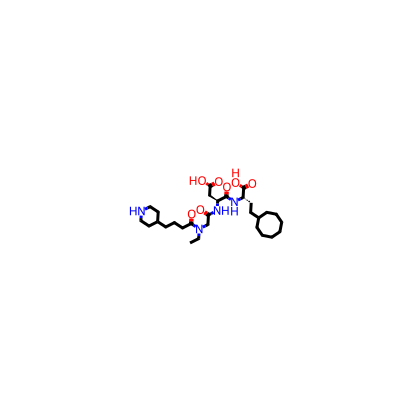 CCN(CC(=O)N[C@@H](CC(=O)O)C(=O)N[C@@H](CCC1CCCCCCC1)C(=O)O)C(=O)CCCC1CCNCC1